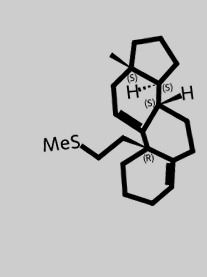 CSCC[C@]12CCCC=C1CC[C@@H]1C2=CC[C@]2(C)CCC[C@@H]12